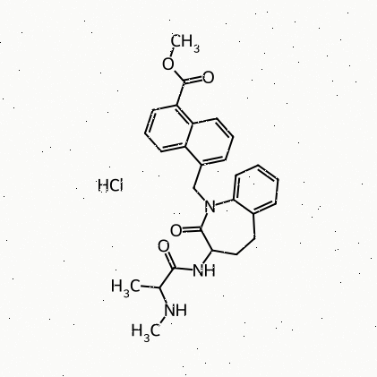 CNC(C)C(=O)NC1CCc2ccccc2N(Cc2cccc3c(C(=O)OC)cccc23)C1=O.Cl